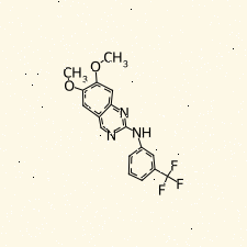 COc1cc2cnc(Nc3cccc(C(F)(F)F)c3)nc2cc1OC